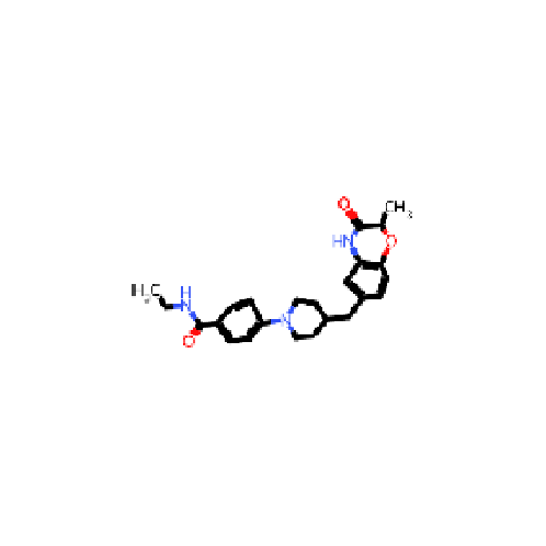 CCNC(=O)c1ccc(N2CCC(Cc3ccc4c(c3)NC(=O)C(C)O4)CC2)cc1